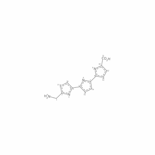 NCc1nc(-c2nc(-c3nc(C(=O)O)cs3)cs2)cs1